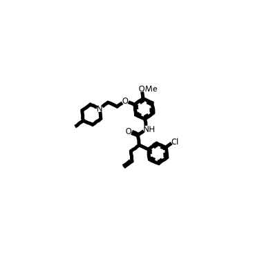 C=CCC(C(=O)Nc1ccc(OC)c(OCCN2CCC(C)CC2)c1)c1cccc(Cl)c1